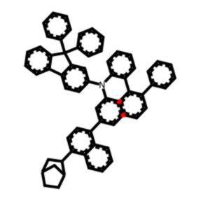 c1ccc(-c2ccccc2-c2ccccc2N(c2cccc(-c3ccc(C4CC5CCC4C5)c4ccccc34)c2)c2ccc3c(c2)C(c2ccccc2)(c2ccccc2)c2ccccc2-3)cc1